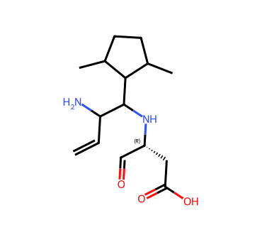 C=CC(N)C(N[C@@H](C=O)CC(=O)O)C1C(C)CCC1C